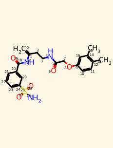 C=C(CCNC(=O)COc1ccc(C)c(C)c1)NC(=O)c1cccc(S(N)(=O)=O)c1